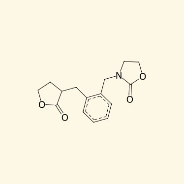 O=C1OCCC1Cc1ccccc1CN1CCOC1=O